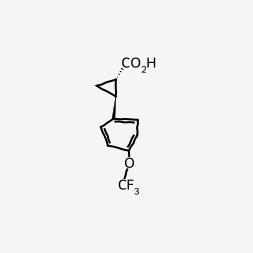 O=C(O)[C@H]1C[C@@H]1c1ccc(OC(F)(F)F)cc1